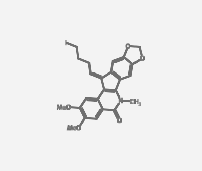 COc1cc2c3c(n(C)c(=O)c2cc1OC)-c1cc2c(cc1C3=CCCCI)OCO2